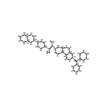 [2H]/C(=C(/[2H])c1ccc2c(ccc3cc(N(c4ccccc4)c4ccccc4)ccc32)c1)c1ccc(-c2ccc3ccccc3c2)cc1